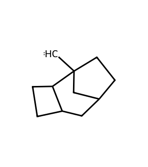 [CH]C12CCC(CC3CCC31)C2